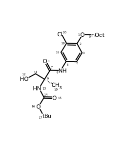 CCCCCCCCOc1ccc(NC(=O)[C@](C)(CO)NC(=O)OC(C)(C)C)cc1Cl